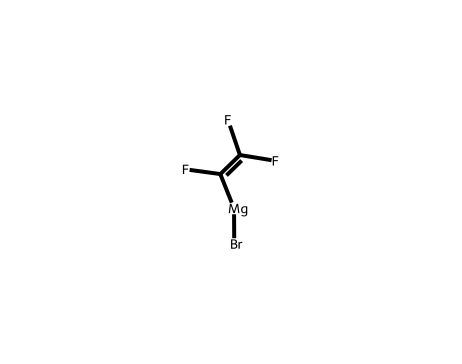 FC(F)=[C](F)[Mg][Br]